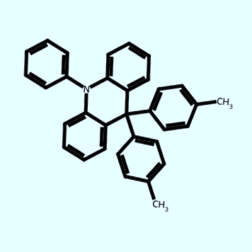 Cc1ccc(C2(c3ccc(C)cc3)c3ccccc3N(c3ccccc3)c3ccccc32)cc1